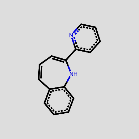 C1=Cc2ccccc2NC(c2ccccn2)=C1